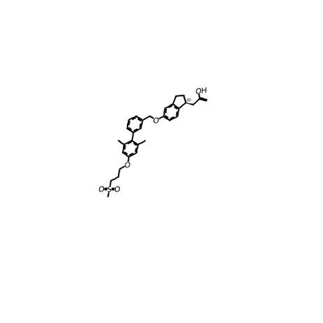 C=C(O)C[C@@H]1CCc2cc(OCc3cccc(-c4c(C)cc(OCCCS(C)(=O)=O)cc4C)c3)ccc21